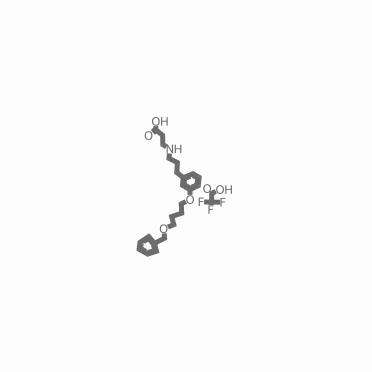 O=C(O)C(F)(F)F.O=C(O)CCNCCCc1cccc(OCCCCOCc2ccccc2)c1